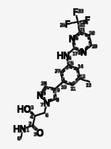 CNC(=O)[C@@H](O)Cn1cc(-c2cc(C)cc(Nc3nccc(C(F)(F)F)n3)c2)cn1